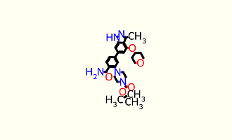 Cc1n[nH]c2cc(-c3ccc(C(N)=O)c(N4CCN(C(=O)OC(C)(C)C)CC4)c3)cc(OC3CCOCC3)c12